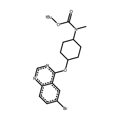 CN(C(=O)OC(C)(C)C)C1CCC(Oc2ncnc3ccc(Br)cc23)CC1